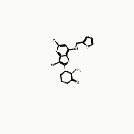 N[C@H]1C(=O)CCC[C@@H]1c1sc2c(NCc3cccs3)cc(Cl)nc2c1Br